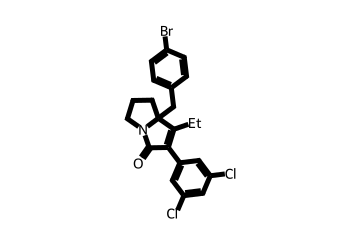 CCC1=C(c2cc(Cl)cc(Cl)c2)C(=O)N2CCCC12Cc1ccc(Br)cc1